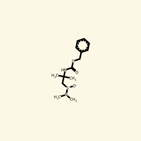 CN(C)[S+]([O-])CC(C)(C)NC(=O)OCc1ccccc1